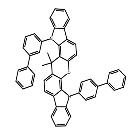 CC1(C)c2ccc3c4ccccc4n(-c4ccc(-c5ccccc5)cc4)c3c2Oc2ccc3c4ccccc4n(-c4cccc(-c5ccccc5)c4)c3c21